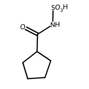 O=C(NS(=O)(=O)O)C1CCCC1